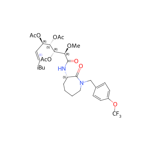 CCC(C)/C=C/[C@@H](OC(C)=O)[C@H](OC(C)=O)[C@@H](OC(C)=O)[C@@H](OC)C(=O)N[C@H]1CCCCN(Cc2ccc(OC(F)(F)F)cc2)C1=O